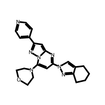 c1cc(-c2cc3nc(-n4cc5c(n4)CCCC5)cc(N4CCOCC4)n3n2)ccn1